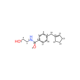 O=C(NCCO)c1ccc(CC2=CCCC2)cc1